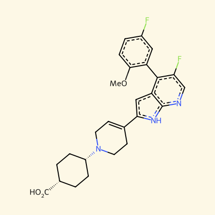 COc1ccc(F)cc1-c1c(F)cnc2[nH]c(C3=CCN([C@H]4CC[C@@H](C(=O)O)CC4)CC3)cc12